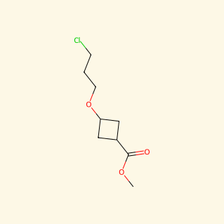 COC(=O)C1CC(OCCCCl)C1